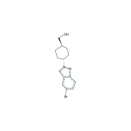 OC[C@H]1CC[C@H](n2cc3cc(Br)ccc3n2)CC1